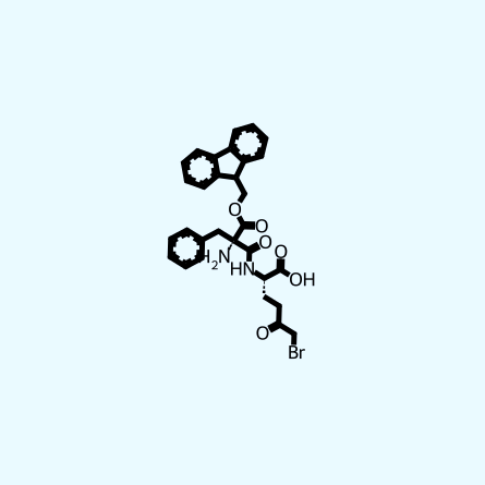 N[C@@](Cc1ccccc1)(C(=O)N[C@@H](CCC(=O)CBr)C(=O)O)C(=O)OCC1c2ccccc2-c2ccccc21